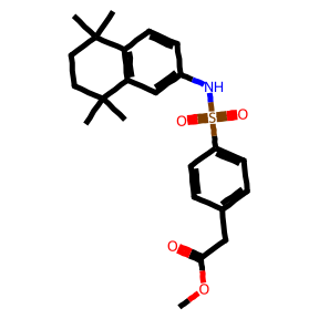 COC(=O)Cc1ccc(S(=O)(=O)Nc2ccc3c(c2)C(C)(C)CCC3(C)C)cc1